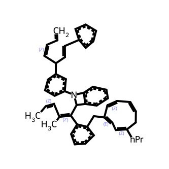 C=C/C=C\C(C=Cc1ccccc1)c1cccc(N2c3ccccc3C2/C(=C(C)\C=C/C)c2ccccc2CC2=C\C=C(\CCC)CC=C/C=C\2)c1